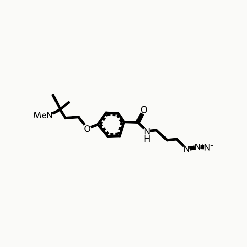 CNC(C)(C)CCOc1ccc(C(=O)NCCCN=[N+]=[N-])cc1